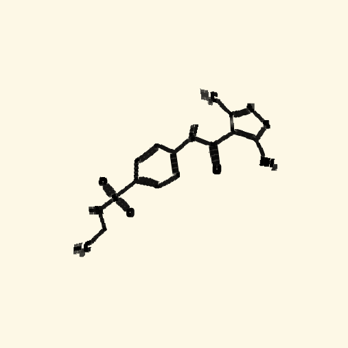 CCNS(=O)(=O)c1ccc(NC(=O)c2c(C)nsc2N)cc1